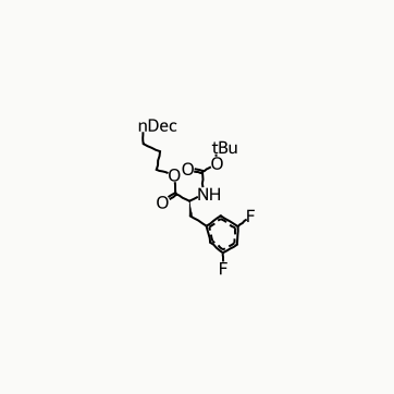 CCCCCCCCCCCCCOC(=O)[C@H](Cc1cc(F)cc(F)c1)NC(=O)OC(C)(C)C